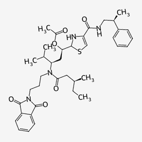 CC[C@H](C)CC(=O)N(CCCN1C(=O)c2ccccc2C1=O)[C@H](C[C@@H](OC(C)=O)C1NC(C(=O)NC[C@@H](C)c2ccccc2)=CS1)C(C)C